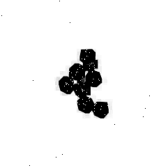 C1=C(c2ccccc2)NC(c2cccc(-c3nc4ccccc4n3-c3ccccc3)c2)N=C1c1cccc(-c2ccccc2)c1